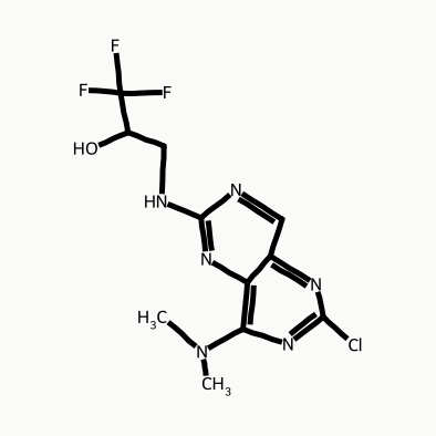 CN(C)c1nc(Cl)nc2cnc(NCC(O)C(F)(F)F)nc12